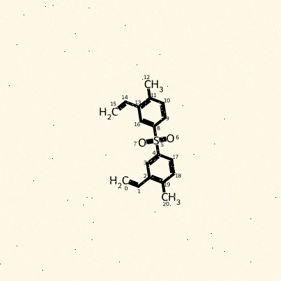 C=Cc1cc(S(=O)(=O)c2ccc(C)c(C=C)c2)ccc1C